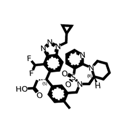 Cc1ccc([C@H](CC(=O)O)c2ccc3c(nnn3CC3CC3)c2C(F)F)cc1CN1C[C@H]2CCCCN2c2ncccc2S1(=O)=O